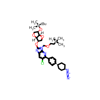 CC(C)(C)[Si](C)(C)O[C@@H]1CO[C@H]2[C@@H]1OC[C@H]2Oc1nc2cc(Cl)c(-c3ccc([C@H]4CC[C@@H](N=[N+]=[N-])CC4)cc3)nc2n1COCC[Si](C)(C)C